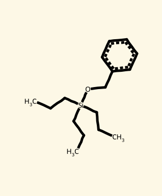 CCC[Si](CCC)(CCC)OCc1ccccc1